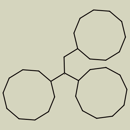 C1CCCCC(C[C](C2CCCCCCCCC2)C2CCCCCCCCC2)CCCC1